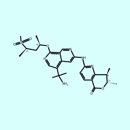 C[C@H](C[C@@H](C)S(C)(=O)=O)Oc1ncc(C(C)(C)N)c2cc(Nc3ccc4c(n3)[C@@H](C)[C@H](C)OC4=O)ncc12